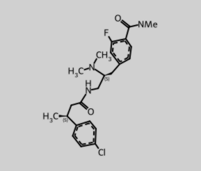 CNC(=O)c1ccc(C[C@@H](CNC(=O)C[C@H](C)c2ccc(Cl)cc2)N(C)C)cc1F